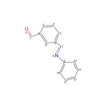 O=Cc1cccc(C=Nc2ccccc2)c1